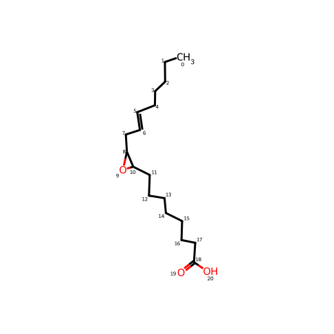 CCCCC/C=C/CC1OC1CCCCCCCC(=O)O